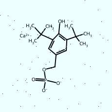 CC(C)(C)c1cc(COP(=O)([O-])[O-])cc(C(C)(C)C)c1O.[Ca+2]